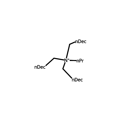 CCCCCCCCCCC[N+](CCC)(CCCCCCCCCCC)CCCCCCCCCCC